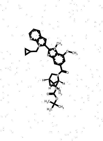 COc1cc(C(=O)N2C[C@H]3C[C@H](N)[C@@H]2[C@@H]3NC(=O)OC(C)(C)C)cc2nc(-c3cc4cccnc4n3CC3CC3)n(C)c12